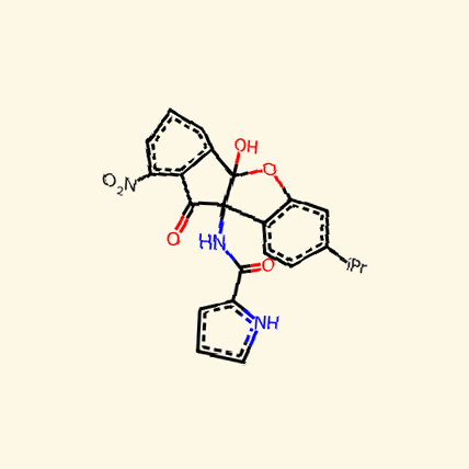 CC(C)c1ccc2c(c1)OC1(O)c3cccc([N+](=O)[O-])c3C(=O)C21NC(=O)c1ccc[nH]1